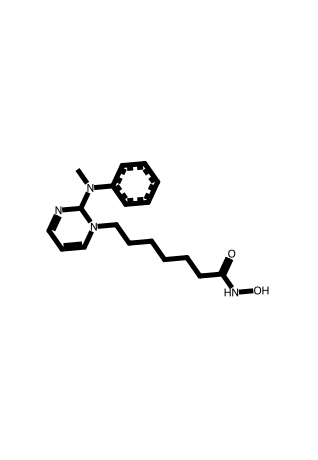 CN(c1ccccc1)C1N=CC=CN1CCCCCCC(=O)NO